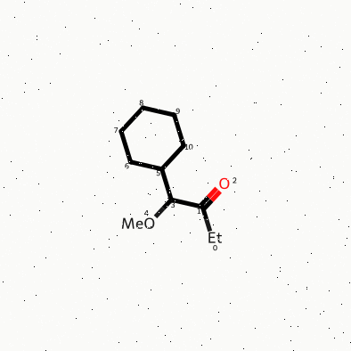 CCC(=O)C(OC)C1CCCCC1